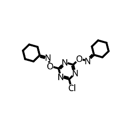 Clc1nc(ON=C2CCCCC2)nc(ON=C2CCCCC2)n1